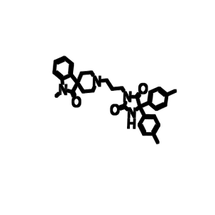 Cc1ccc(C2(c3ccc(C)cc3)NC(=O)N(CCCN3CCC4(CC3)C(=O)N(C)c3ccccc34)C2=O)cc1